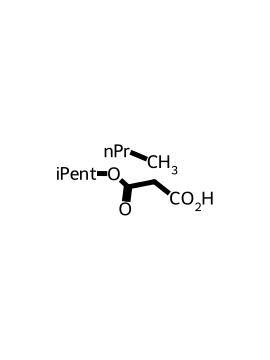 CCCC.CCCC(C)OC(=O)CC(=O)O